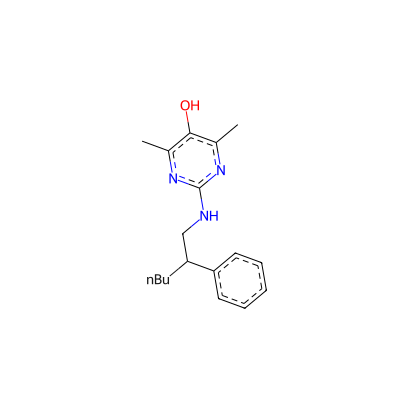 CCCCC(CNc1nc(C)c(O)c(C)n1)c1ccccc1